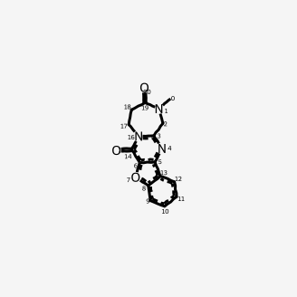 CN1Cc2nc3c(oc4ccccc43)c(=O)n2CCC1=O